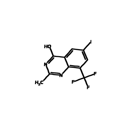 Cc1nc(O)c2cc(I)cc(C(F)(F)F)c2n1